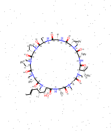 C/C=C/C[C@@H](C)[C@@H](O)[C@H]1C(=O)N[C@@H](CC)C(=O)N(C)CC(=O)N(C)[C@@H]([C@H](C)OC(C)=O)C(=O)N[C@@H](C(C)C)C(=O)N(C)[C@@H](CC(C)C)C(=O)N[C@@H](C)C(=O)N[C@H](C)C(=O)N(C)[C@@H](CC(C)C)C(=O)N(C)[C@@H](CC(C)C)C(=O)N(C)[C@@H](C(C)C)C(=O)N1C